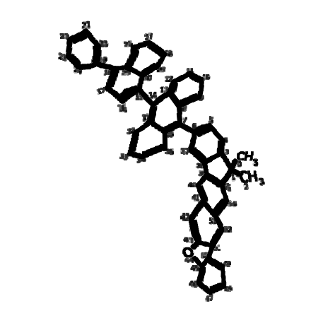 CC1(C)c2ccc(-c3c4ccccc4c(-c4ccc(-c5ccccc5)c5ccccc45)c4ccccc34)cc2-c2cc3cc4oc5ccccc5c4cc3cc21